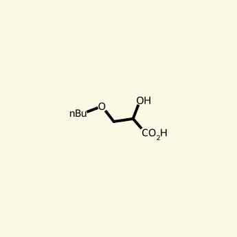 CCCCOCC(O)C(=O)O